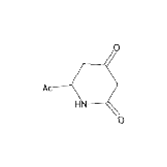 CC(=O)C1CC(=O)CC(=O)N1